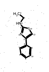 CCNc1nc(-c2ccccc2)cs1